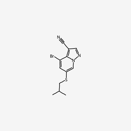 CC(C)CSc1cc(Br)c2c(C#N)cnn2c1